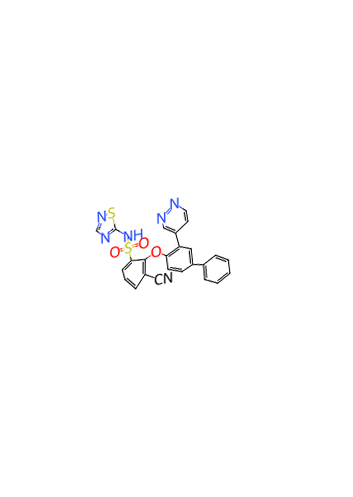 N#Cc1cccc(S(=O)(=O)Nc2ncns2)c1Oc1ccc(-c2ccccc2)cc1-c1ccnnc1